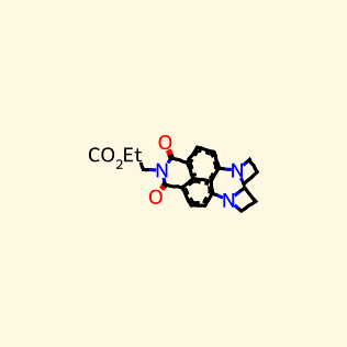 CCOC(=O)CN1C(=O)c2ccc(N3CCC3)c3c(N4CCC4)ccc(c23)C1=O